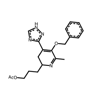 CC(=O)OCCCC1CC(c2nc[nH]n2)=C(OCc2ccccc2)C(C)=N1